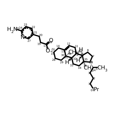 CC(C)CCCC(C)[C@H]1CC[C@H]2[C@@H]3CC=C4C[C@@H](OC(=O)CCc5ccc(N)nc5)CC[C@]4(C)[C@H]3CC[C@]12C